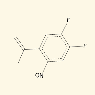 C=C(C)c1cc(F)c(F)cc1N=O